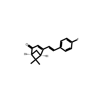 CC1(C)[C@@H]2C[C@H]1C(C=Cc1ccc(F)cc1)=CC2=O